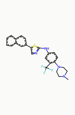 CN1CCN(c2ccc(Nc3ncc(-c4ccc5ccccc5c4)s3)cc2C(F)(F)F)CC1